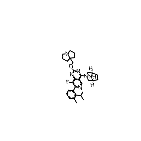 Cc1cccc(-c2ncc3c(N4C[C@H]5CC[C@@H](C4)N5)nc(OCC45CCCN4CCC5)nc3c2F)c1C(C)C